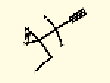 C#CC(F)(F)C1(CI)N=N1